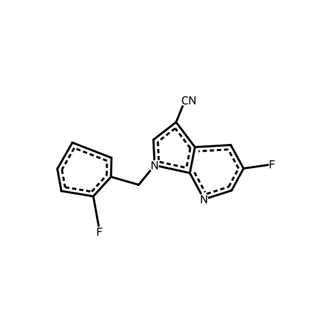 N#Cc1cn(Cc2ccccc2F)c2ncc(F)cc12